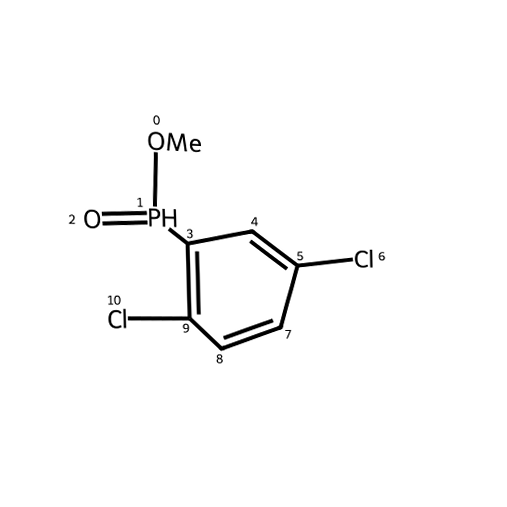 CO[PH](=O)c1cc(Cl)ccc1Cl